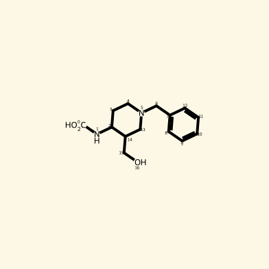 O=C(O)NC1CCN(Cc2ccccc2)CC1CO